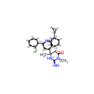 CN1C(=N)N[C@](C)(c2ccnc(-c3ccccc3F)c2)[C@H](c2ccc(C3CC3)cc2)C1=O